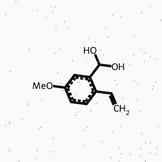 C=Cc1ccc(OC)cc1C(O)O